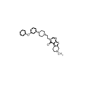 CN1CCc2c(sc3ncn(CCN4CCN(c5cccc(Oc6ccccc6)c5)CC4)c(=O)c23)C1